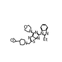 CCc1nc2ccccc2n1-c1nc(N2CCOCC2)c2nc(CN3CCC(C4COC4)CC3)sc2n1